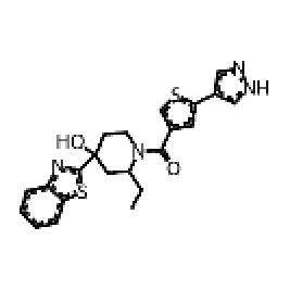 CCC1CC(O)(c2nc3ccccc3s2)CCN1C(=O)c1csc(-c2cn[nH]c2)c1